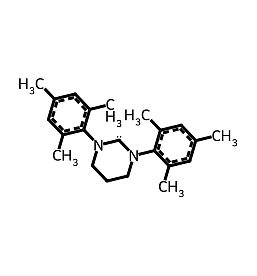 Cc1cc(C)c(N2[C]N(c3c(C)cc(C)cc3C)CCC2)c(C)c1